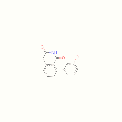 O=C1Cc2cccc(-c3cccc(O)c3)c2C(=O)N1